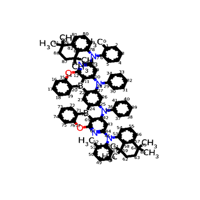 Cc1ccccc1N(c1cc2c3c(n1)Oc1ccccc1B3c1cc3c(cc1N2c1ccccc1)N(c1ccccc1)c1cc(N(c2ccccc2C)c2cccc4c2C(C)(C)CCC4(C)C)nc2c1B3c1ccccc1O2)c1cccc2c1C(C)(C)CCC2(C)C